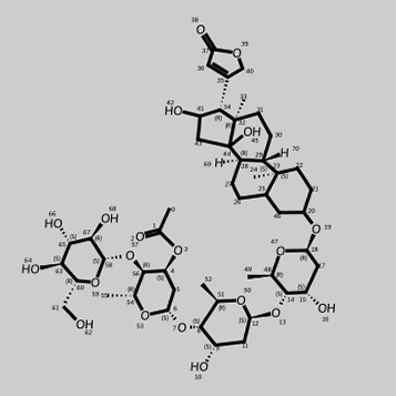 CC(=O)O[C@H]1C[C@H](O[C@H]2[C@@H](O)C[C@H](O[C@H]3[C@@H](O)C[C@H](OC4CC[C@@]5(C)C(CC[C@@H]6[C@@H]5CC[C@]5(C)[C@@H](C7=CC(=O)OC7)C(O)CC65O)C4)O[C@@H]3C)O[C@@H]2C)O[C@H](C)[C@H]1O[C@@H]1O[C@H](CO)[C@@H](O)[C@H](O)[C@H]1O